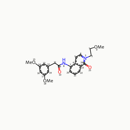 COCCn1ccc2c(NC(=O)Cc3cc(OC)cc(OC)c3)cccc2c1=O